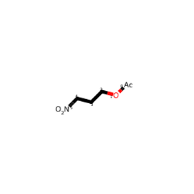 [CH2]C(=O)OCCC[N+](=O)[O-]